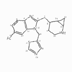 CC(=O)c1ccc2nc(CC3CCNC4CC34)n(Cc3cncs3)c2c1